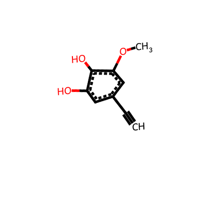 C#Cc1cc(O)c(O)c(OC)c1